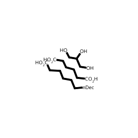 CCCCCCCCCCCCCCCC(=O)O.O=C(O)CCCCC(=O)O.OCC(O)CO